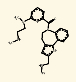 CCCNCc1cc2c([nH]1)-c1ccccc1N(C(=O)c1cccc(N(C)CCPC)n1)CC2